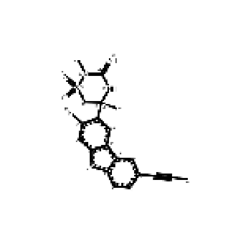 CC#Cc1ccc2sc3cc(F)c([C@]4(C)CS(=O)(=O)N(C)C(=N)N4)cc3c2c1